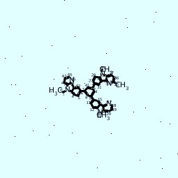 CCn1c2ccc(-c3cc(-c4ccc5c(c4)c4ncccc4n5C)cc(-c4ccc5c(c4)c4nc(C)ccc4n5C)c3)cc2c2ncccc21